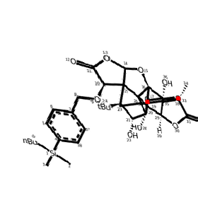 CCCC[Si](C)(C)c1ccc(CO[C@H]2C(=O)OC3O[C@@]45C(=O)OC6[C@H](O)[C@@H](C(C)(C)C)C32C64[C@@H](O)[C@@H]2OC(=O)[C@@H](C)[C@@]25O)cc1